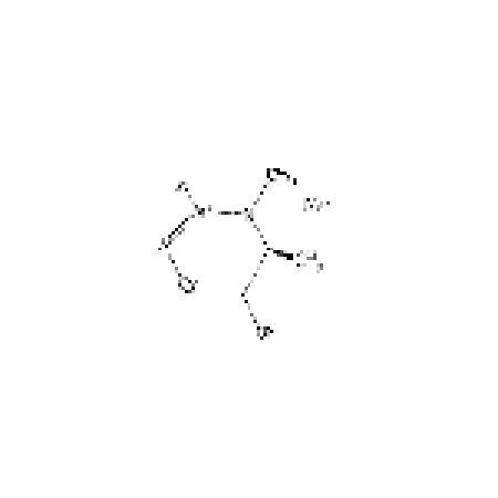 C[C@@H](CO)N(C)/[N+]([O-])=N\[O-].[Na+]